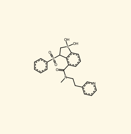 CN(CCc1cccnc1)C(=O)c1cccc2c1C(S(=O)(=O)c1ccccc1)CS2(O)O